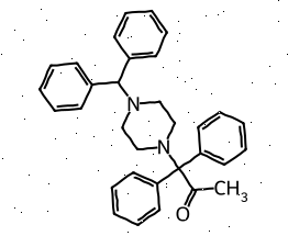 CC(=O)C(c1ccccc1)(c1ccccc1)N1CCN(C(c2ccccc2)c2ccccc2)CC1